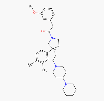 CC(C)Oc1cccc(CC(=O)N2CC[C@@](CCN3CCC(N4CCCCC4)CC3)(c3ccc(C(F)(F)F)c(C(F)(F)F)c3)C2)c1